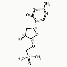 CP(C)(=O)CO[C@H]1O[C@@H](n2cnc(N)nc2=O)C[C@@H]1O